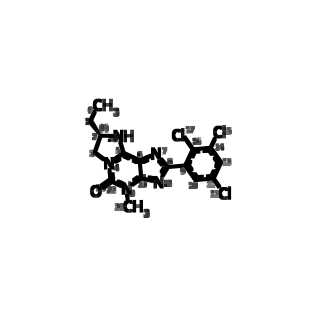 CC[C@@H]1Cn2c(c3nc(-c4cc(Cl)cc(Cl)c4Cl)nc-3n(C)c2=O)N1